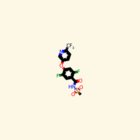 CS(=O)(=O)NC(=O)c1cc(F)c(Oc2ccc(C(F)(F)F)nc2)cc1F